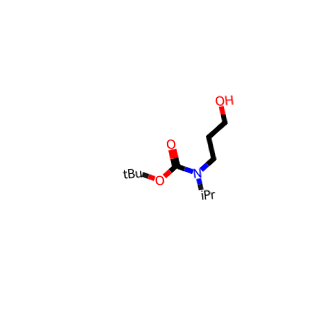 CC(C)N(CCCO)C(=O)OC(C)(C)C